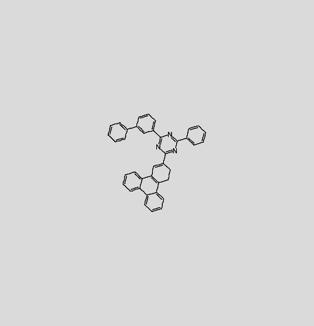 C1=C(c2nc(-c3ccccc3)nc(-c3cccc(-c4ccccc4)c3)n2)CCc2c1c1ccccc1c1ccccc21